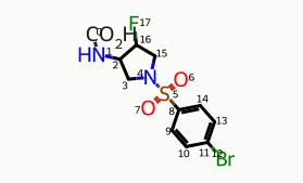 O=C(O)NC1CN(S(=O)(=O)c2ccc(Br)cc2)CC1F